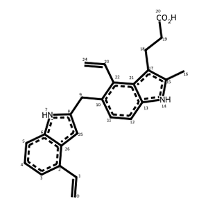 C=Cc1cccc2[nH]c(Cc3ccc4[nH]c(C)c(CCC(=O)O)c4c3C=C)cc12